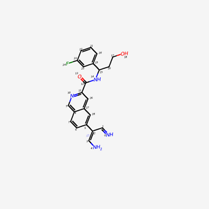 N=C/C(=C\N)c1ccc2cnc(C(=O)NC(CCO)c3cccc(F)c3)cc2c1